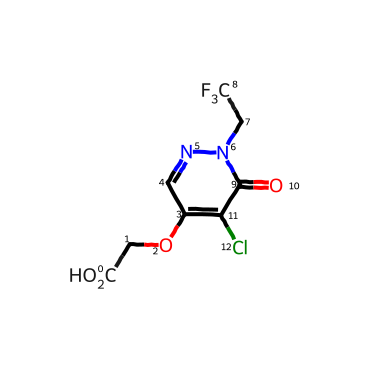 O=C(O)COc1cnn(CC(F)(F)F)c(=O)c1Cl